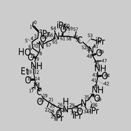 C/C=C/C[C@@H](C)[C@@H](O)C1C(=O)N[C@@H](CC)C(=O)N(C)CC(=O)C(C)[C@@H](CC(C)C)C(=O)NC(C(C)C)C(=O)N(C)[C@@H](CC(C)C)C(=O)N[C@@H](C)C(=O)N[C@H](C)C(=O)N(C)[C@@H](CC(C)C)CC(C)[C@@H](CC(C)C)C(=O)N(C)[C@@H](C(C)C)C(=O)N1C